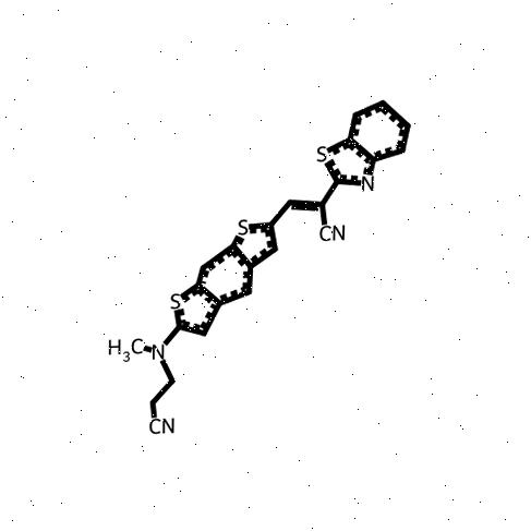 CN(CCC#N)c1cc2cc3cc(/C=C(\C#N)c4nc5ccccc5s4)sc3cc2s1